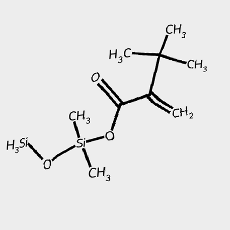 C=C(C(=O)O[Si](C)(C)O[SiH3])C(C)(C)C